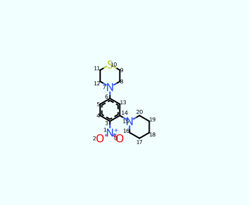 O=[N+]([O-])c1ccc(N2CCSCC2)cc1N1CCCCC1